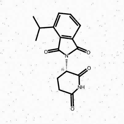 CC(C)c1cccc2c1C(=O)N([C@H]1CCC(=O)NC1=O)C2=O